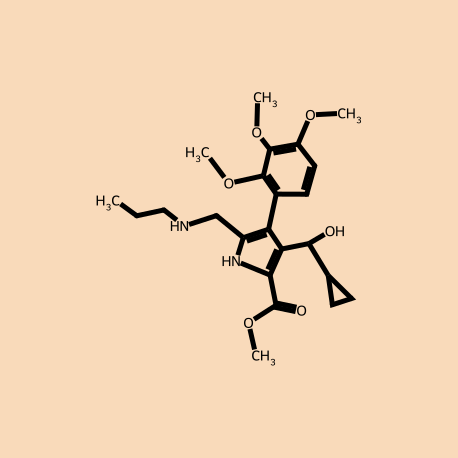 CCCNCc1[nH]c(C(=O)OC)c(C(O)C2CC2)c1-c1ccc(OC)c(OC)c1OC